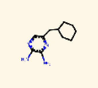 Nc1ncc(CC2CCCCC2)nc1N